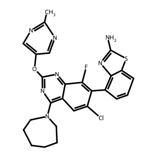 Cc1ncc(Oc2nc(N3CCCCCC3)c3cc(Cl)c(-c4cccc5sc(N)nc45)c(F)c3n2)cn1